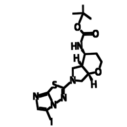 CC(C)(C)OC(=O)N[C@H]1CCO[C@@H]2CN(c3nn4c(I)cnc4s3)C[C@H]12